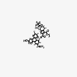 CCOC(=O)c1c(C(N)=O)sc2c1CCCC2.Cc1cccc(N(CC(=O)O)C(=O)c2cccc(CN)c2)n1.O=C(O)C(F)(F)F